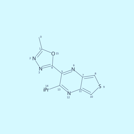 Cc1nnc(-c2nc3cscc3nc2C(C)C)o1